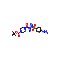 CC(C)(C)OC(=O)N1CCN(C(=O)NNS(=O)(=O)c2ccc(N)cc2)CC1